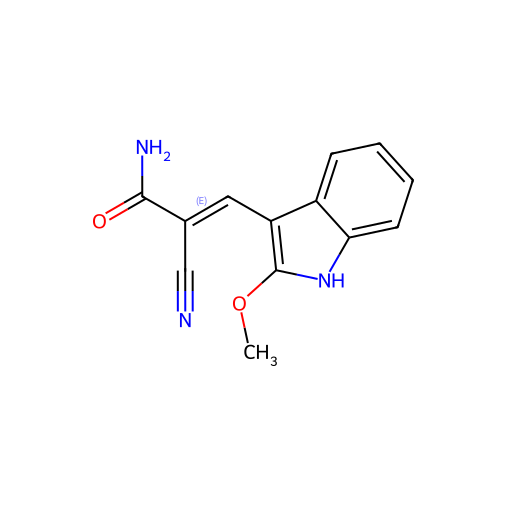 COc1[nH]c2ccccc2c1/C=C(\C#N)C(N)=O